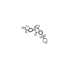 O=C1CCc2cc(NC(=O)c3cc(S(=O)(=O)N4CCOCC4)ccc3N3CCCC3)ccc2N1